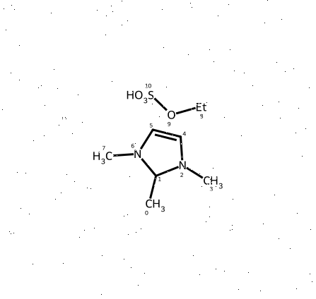 CC1N(C)C=CN1C.CCOS(=O)(=O)O